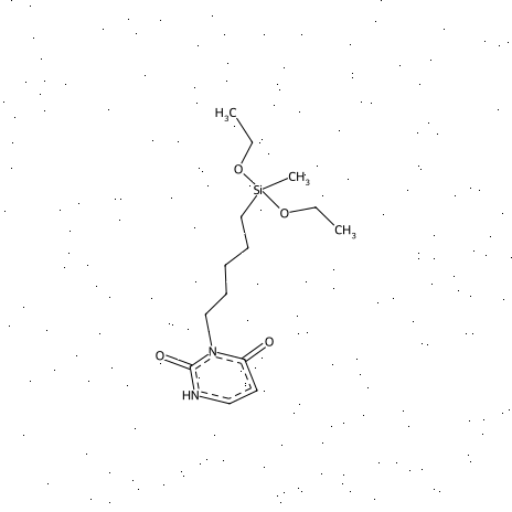 CCO[Si](C)(CCCCCn1c(=O)cc[nH]c1=O)OCC